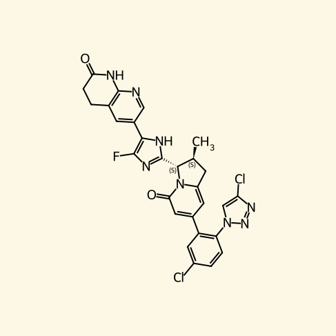 C[C@H]1Cc2cc(-c3cc(Cl)ccc3-n3cc(Cl)nn3)cc(=O)n2[C@@H]1c1nc(F)c(-c2cnc3c(c2)CCC(=O)N3)[nH]1